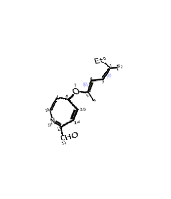 CC/C(F)=C\C=C(/C)OC1C=CN=C(C=O)C=C1